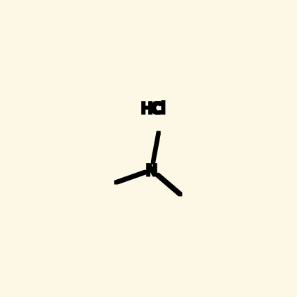 CN(C)C.Cl